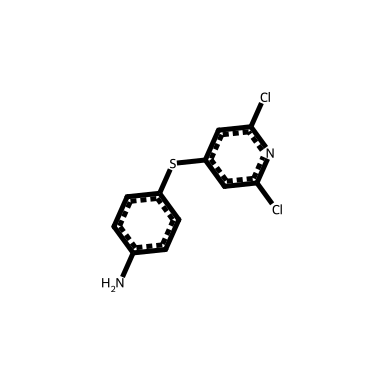 Nc1ccc(Sc2cc(Cl)nc(Cl)c2)cc1